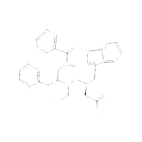 CCN(N[C@H](CC(=O)O)Cc1c[nH]c2ccccc12)C(Cc1ccccc1)CN(C)C(=O)c1ccccc1